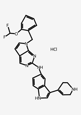 Cl.FC(F)Oc1ccccc1Cn1ccc2cnc(Nc3ccc4[nH]cc(C5=CCNCC5)c4c3)nc21